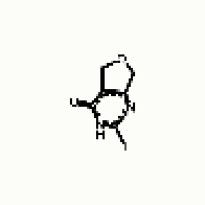 O=c1[nH]c(I)nc2c1COC2